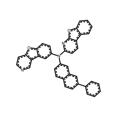 c1ccc(-c2ccc3ccc(N(c4ccc5oc6ccncc6c5c4)c4ccc5c(n4)oc4ccccc45)cc3c2)cc1